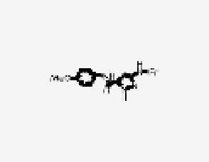 COc1ccc(NC(=O)c2cc(NC(C)C)n[nH]2)cc1